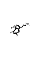 NCCCc1c[nH]c2c(F)cc(F)cc12